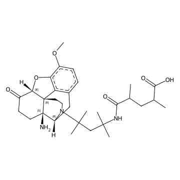 COc1ccc2c3c1O[C@H]1C(=O)CC[C@@]4(N)[C@@H](C2)N(C(C)(C)CC(C)(C)NC(=O)C(C)CC(C)C(=O)O)CC[C@]314